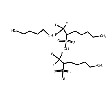 CCCCCC(C(F)(F)F)S(=O)(=O)O.CCCCCC(C(F)(F)F)S(=O)(=O)O.OCCCCO